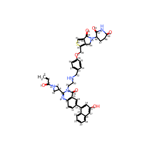 C=CC(=O)N1CC(c2nc3ccc(-c4cc(O)cc5ccccc45)cc3c(=O)n2CCNCc2ccc(OCc3scc4c3CN(C3CCC(=O)NC3=O)C4=O)cc2)C1